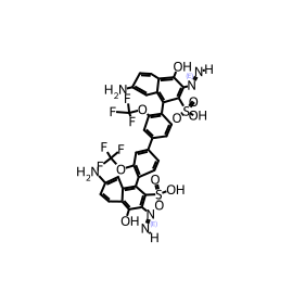 [H]/N=N/c1c(S(=O)(=O)O)c(-c2ccc(-c3ccc(-c4c(S(=O)(=O)O)c(/N=N/[H])c(O)c5ccc(N)cc45)c(OC(F)(F)F)c3)cc2OC(F)(F)F)c2cc(N)ccc2c1O